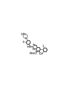 COn1c(=O)c(-c2c(F)cccc2I)cc2cnc(Nc3ccc(N4CCNCC4)c(F)c3)nc21